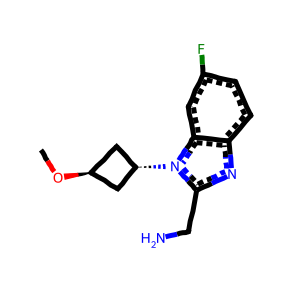 CO[C@H]1C[C@H](n2c(CN)nc3ccc(F)cc32)C1